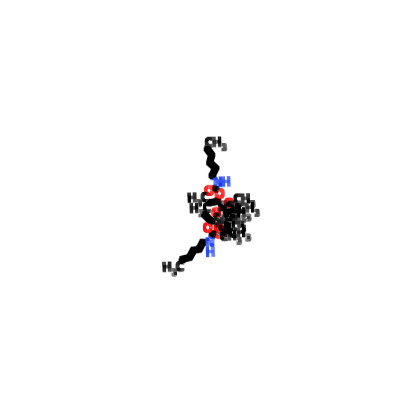 CCCCCCNC(=O)OC(CC)[Si](C)(O[Si](C)(C)C)O[Si](C)(O[Si](C)(C)C)C(CC)OC(=O)NCCCCCC